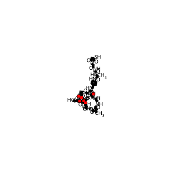 CCCC1C(=O)NCC(=O)N[C@H]2C[S+]([O-])c3[nH]c4ccccc4c3C[C@@H](NC(=O)C(C[C@@H](O)CO)NC(=O)[C@@H]3CCCN3C(=O)[C@H](CC(=O)NCc3ccc(NC(=O)[C@H](C)NC(=O)CNC(=O)CCN4C(=O)CC(S)C4=O)cc3)NC2=O)C(=O)NCN1C=O